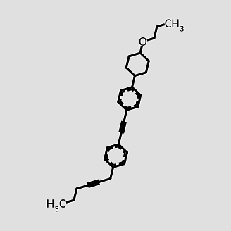 CCCC#CCc1ccc(C#Cc2ccc(C3CCC(OCCC)CC3)cc2)cc1